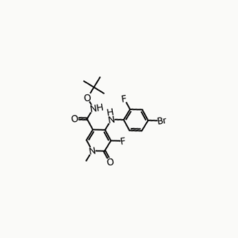 Cn1cc(C(=O)NOC(C)(C)C)c(Nc2ccc(Br)cc2F)c(F)c1=O